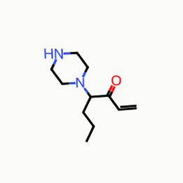 C=CC(=O)C(CCC)N1CCNCC1